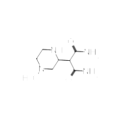 CN1CCNC(C(C(N)=O)C(N)=O)C1